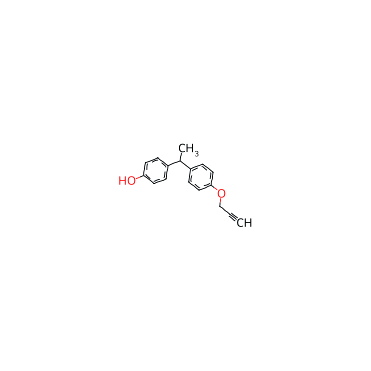 C#CCOc1ccc(C(C)c2ccc(O)cc2)cc1